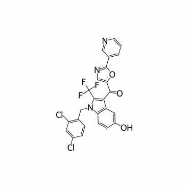 O=C(c1cnc(-c2cccnc2)o1)c1c(C(F)(F)F)n(Cc2ccc(Cl)cc2Cl)c2ccc(O)cc12